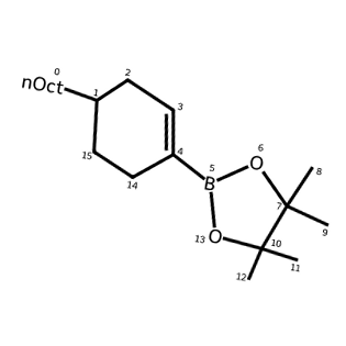 CCCCCCCCC1CC=C(B2OC(C)(C)C(C)(C)O2)CC1